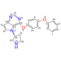 c1ccc(Oc2ccc(Oc3ncnc4ccn([C@H]5CCNC5)c34)cc2)cc1